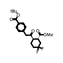 COC(=O)[C@@H]1CC(F)(F)CC[C@H]1C(=O)Cc1ccc(C(=O)OC(C)(C)C)cc1